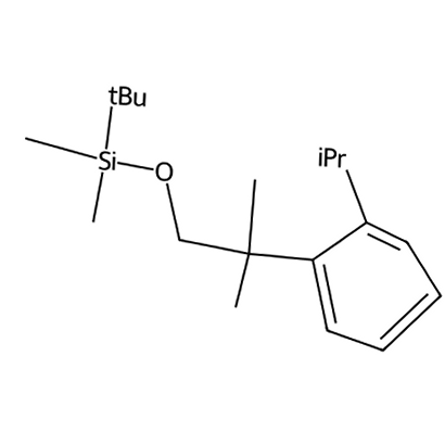 CC(C)c1ccccc1C(C)(C)CO[Si](C)(C)C(C)(C)C